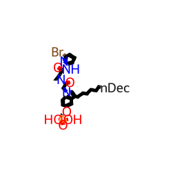 CCCCCCCCCCCCCCCCc1cn(CC(=O)N2CC2C(=O)Nc2cccc(Br)n2)c2ccc(OCP(=O)(O)O)cc12